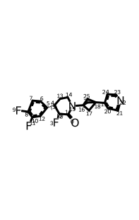 O=C1[C@@H](F)[C@H](c2ccc(F)c(F)c2)CCN1C12CC(c3ccncc3)(C1)C2